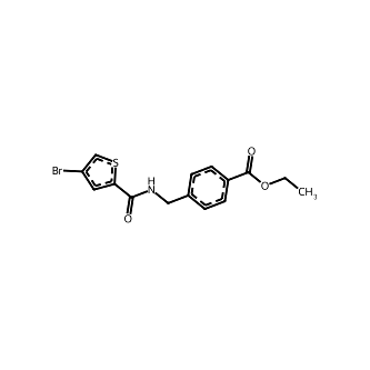 CCOC(=O)c1ccc(CNC(=O)c2cc(Br)cs2)cc1